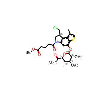 COC(=O)[C@H]1O[C@@H](Oc2cc3c(c4c(C)csc24)[C@H](CCl)CN3C(=O)CCCC(=O)OC(C)(C)C)[C@H](OC(C)=O)[C@@H](OC(C)=O)[C@@H]1C